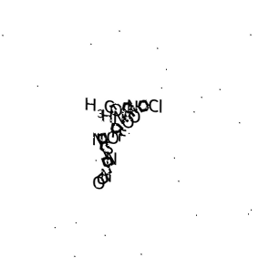 CCOc1ccn(-c2ccc(Cl)cc2)c(=O)c1C(=O)Nc1ccc(Oc2ccnc3cc(-c4ccc(CN5CCOCC5)cn4)sc23)c(F)c1